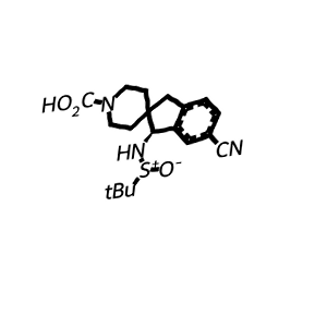 CC(C)(C)[S+]([O-])N[C@@H]1c2cc(C#N)ccc2CC12CCN(C(=O)O)CC2